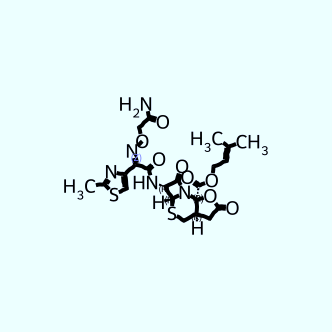 CC(C)=CCOC(=O)[C@]12OC(=O)C[C@H]1CS[C@@H]1[C@H](NC(=O)/C(=N\OCC(N)=O)c3csc(C)n3)C(=O)N12